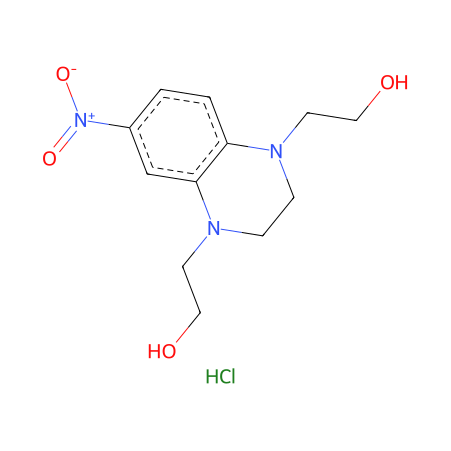 Cl.O=[N+]([O-])c1ccc2c(c1)N(CCO)CCN2CCO